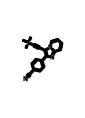 CS(C)(C)C#Cc1c(-c2ccc(C#N)cc2)nc2ccccn12